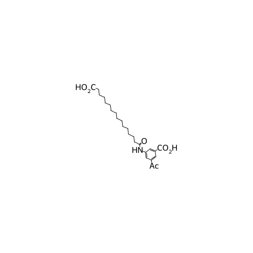 CC(=O)c1cc(NC(=O)CCCCCCCCCCCCCCC(=O)O)cc(C(=O)O)c1